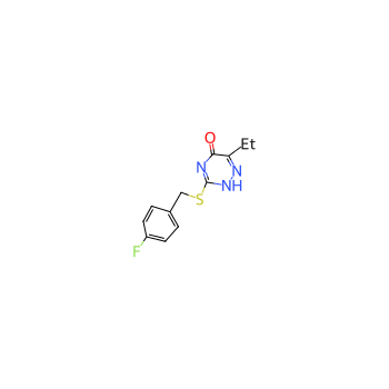 CCc1n[nH]c(SCc2ccc(F)cc2)nc1=O